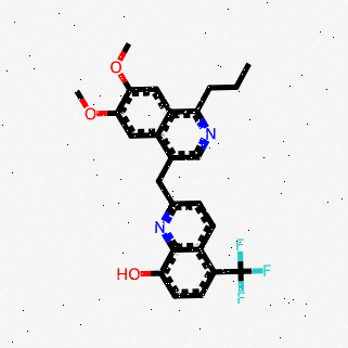 CCCc1ncc(Cc2ccc3c(C(F)(F)F)ccc(O)c3n2)c2cc(OC)c(OC)cc12